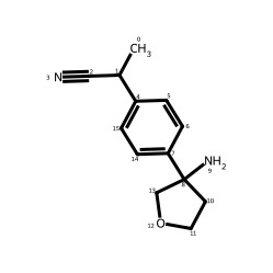 CC(C#N)c1ccc(C2(N)CCOC2)cc1